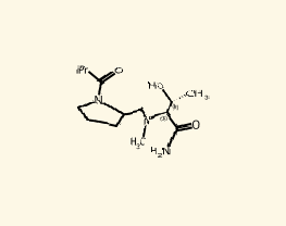 CC(C)C(=O)N1CCCC1CN(C)[C@H](C(N)=O)[C@@H](C)O